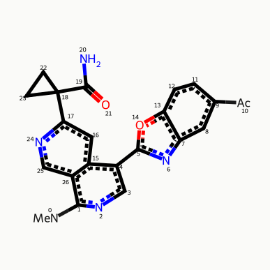 CNc1ncc(-c2nc3cc(C(C)=O)ccc3o2)c2cc(C3(C(N)=O)CC3)ncc12